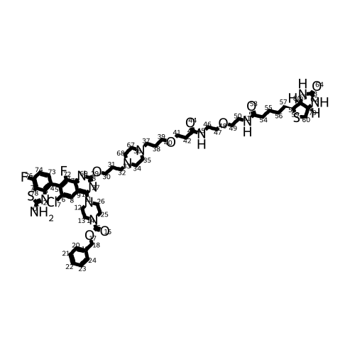 Nc1nc2c(-c3c(Cl)cc4c(N5CCN(C(=O)OCc6ccccc6)CC5)nc(OCCCN5CCN(CCCOCCC(=O)NCCOCCNC(=O)CCCC[C@@H]6SC[C@@H]7NC(=O)N[C@@H]76)CC5)nc4c3F)ccc(F)c2s1